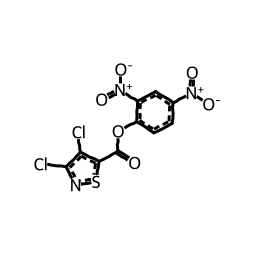 O=C(Oc1ccc([N+](=O)[O-])cc1[N+](=O)[O-])c1snc(Cl)c1Cl